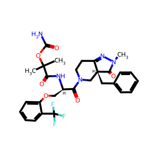 CN1N=C2CCN(C(=O)[C@@H](COc3ccccc3C(F)(F)F)NC(=O)C(C)(C)OC(N)=O)C[C@@]2(Cc2ccccc2)C1=O